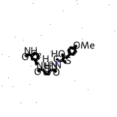 COc1ccc(-c2scc(/C(C)=N/NC(=O)c3ccc(C(=O)NCc4cccc(C(N)=O)c4)s3)c2O)cc1